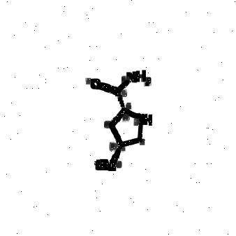 CC(C)(C)[C@@H]1CN[C@@H](C(N)=O)C1